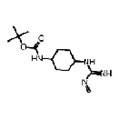 C=NC(=N)NC1CCC(NC(=O)OC(C)(C)C)CC1